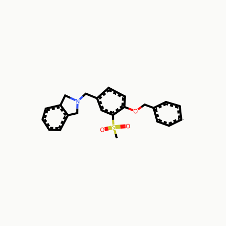 CS(=O)(=O)c1cc(CN2Cc3ccccc3C2)ccc1OCc1cc[c]cc1